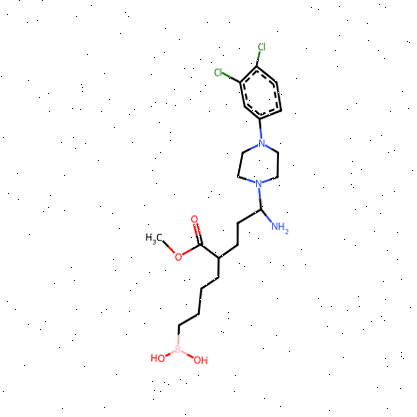 COC(=O)C(CCCCB(O)O)CCC(N)N1CCN(c2ccc(Cl)c(Cl)c2)CC1